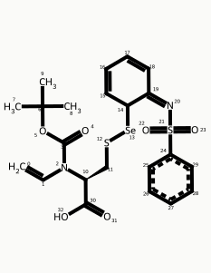 C=CN(C(=O)OC(C)(C)C)[C@@H](CS[Se]C1C=CC=CC1=NS(=O)(=O)c1ccccc1)C(=O)O